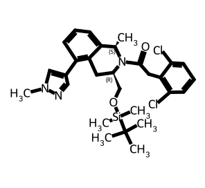 C[C@H]1c2cccc(-c3cnn(C)c3)c2C[C@H](CO[Si](C)(C)C(C)(C)C)N1C(=O)Cc1c(Cl)cccc1Cl